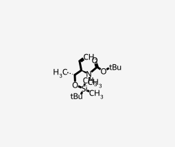 C=C[C@H]([C@@H](C)O[Si](C)(C)C(C)(C)C)N(C)C(=O)OC(C)(C)C